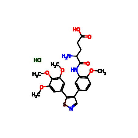 COc1ccc(-c2cnsc2-c2cc(OC)c(OC)c(OC)c2)cc1NC(=O)C(N)CCC(=O)O.Cl